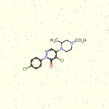 CC1CN(C(=O)O)CCN1c1cnn(-c2ccc(Cl)cc2)c(=O)c1Cl